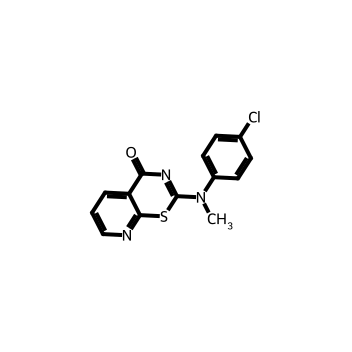 CN(c1ccc(Cl)cc1)c1nc(=O)c2cccnc2s1